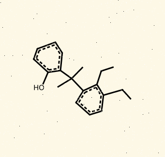 CCc1cccc(C(C)(C)c2ccccc2O)c1CC